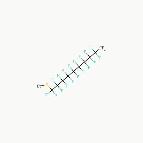 CCSC(F)(F)C(F)(F)C(F)(F)C(F)(F)C(F)(F)C(F)(F)C(F)(F)C(F)(F)C(F)(F)C(F)(F)F